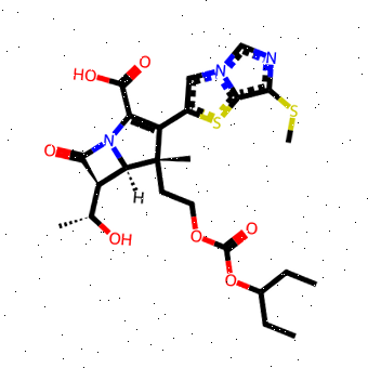 CCC(CC)OC(=O)OCC[C@@]1(C)C(c2cn3cnc(SC)c3s2)=C(C(=O)O)N2C(=O)[C@H]([C@@H](C)O)[C@@H]21